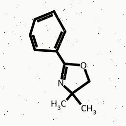 CC1(C)COC(c2cc[c]cc2)=N1